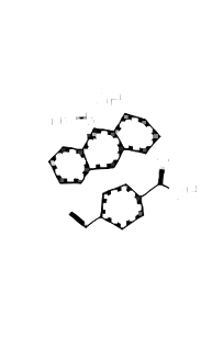 C=Cc1ccc(C(=O)O)cc1.OBO.c1ccc2cc3ccccc3cc2c1